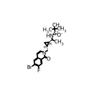 CC(N[S@+]([O-])C(C)(C)C)[C@@H]1C[C@H]1Cn1ccc2cc(Br)c(F)cc2c1=O